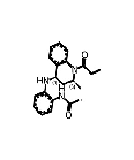 [CH2]C(=O)Nc1ccccc1N[C@@H]1C[C@H](C)N(C(=O)CC)c2ccccc21